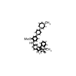 COc1cc(N2CCC(N3CCCN(C)CC3)CC2)ccc1Nc1ncc2ccc(-c3ccccc3N(C)S(C)(=O)=O)n2n1